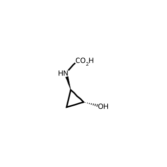 O=C(O)N[C@@H]1C[C@H]1O